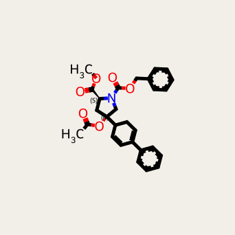 COC(=O)[C@@H]1C[C@@](OC(C)=O)(C2C=CC(c3ccccc3)=CC2)CN1C(=O)OCc1ccccc1